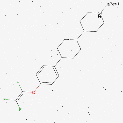 CCCCC[SiH]1CCC(C2CCC(c3ccc(OC(F)=C(F)F)cc3)CC2)CC1